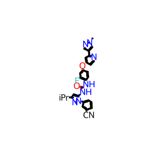 CC(C)c1cc(NC(=O)Nc2ccc(Oc3ccnc(-c4cnn(C)c4)c3)cc2F)n(-c2cccc(C#N)c2)n1